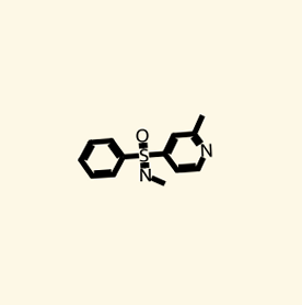 CN=S(=O)(c1ccccc1)c1ccnc(C)c1